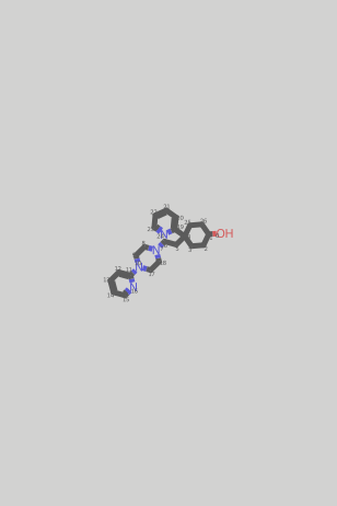 OC1CCC(CCN2CCN(c3ccccn3)CC2)(c2ccccn2)CC1